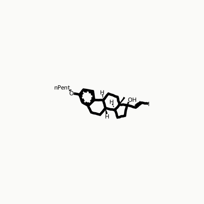 CCCCCOc1ccc2c(c1)CC[C@@H]1[C@@H]2CC[C@@]2(C)[C@H]1CC[C@@]2(O)/C=C/I